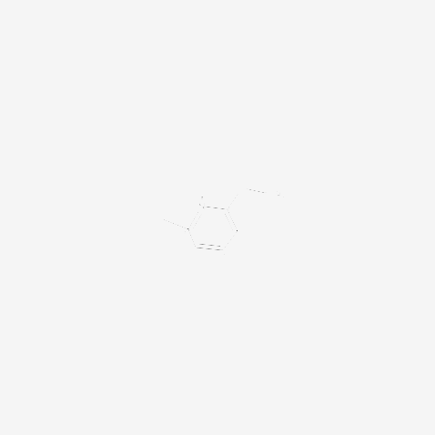 CCCCSc1cccc(F)n1